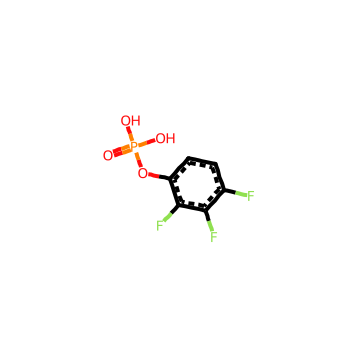 O=P(O)(O)Oc1ccc(F)c(F)c1F